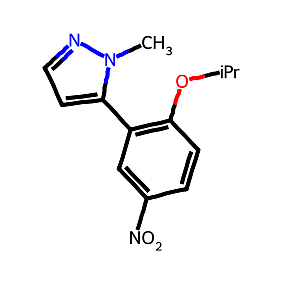 CC(C)Oc1ccc([N+](=O)[O-])cc1-c1ccnn1C